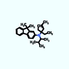 CCCC(CC)(CC)N(c1ccc2c(c1)C(C)(C)c1ccccc1-2)C(C)C(C)C